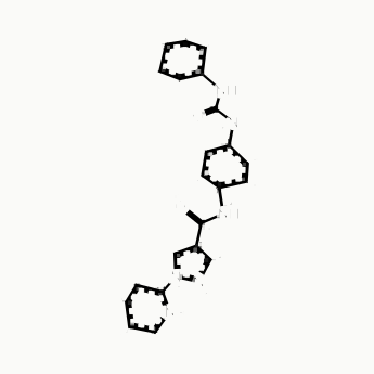 O=C(Nc1ccccc1)Nc1ccc(NC(=O)c2cnn(-c3ccccn3)c2)cc1